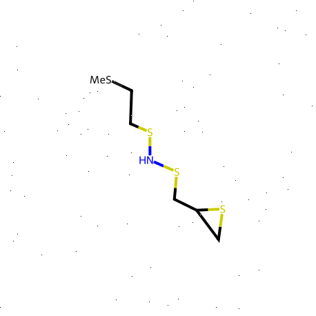 CSCCSNSCC1CS1